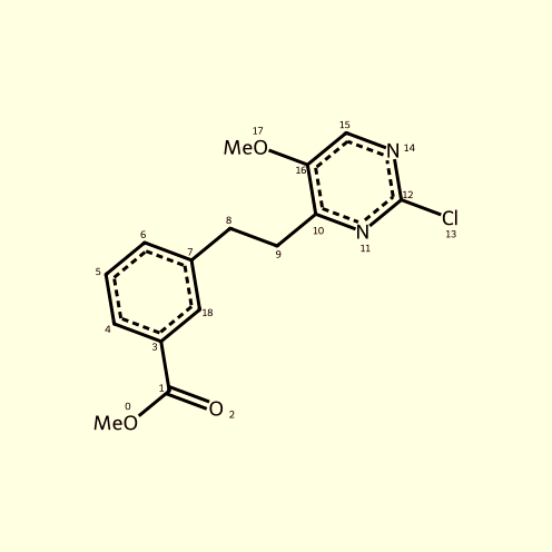 COC(=O)c1cccc(CCc2nc(Cl)ncc2OC)c1